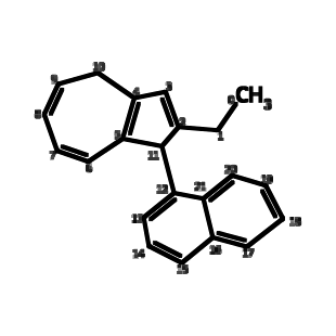 CCC1=CC2=C(C=CC=CC2)C1c1cccc2ccccc12